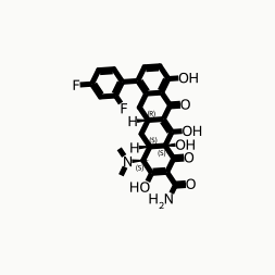 CN(C)[C@@H]1C(O)=C(C(N)=O)C(=O)[C@@]2(O)C(O)=C3C(=O)c4c(O)ccc(-c5ccc(F)cc5F)c4C[C@H]3C[C@@H]12